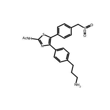 CC(=O)Nc1nc(-c2ccc(CCCN)cc2)c(-c2ccc(C[SH](=O)=O)cc2)s1